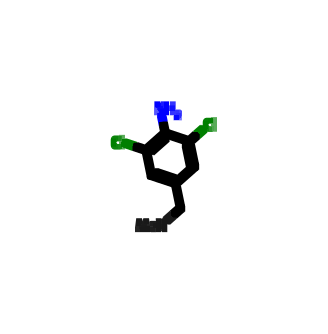 CNCc1cc(Cl)c(N)c(Cl)c1